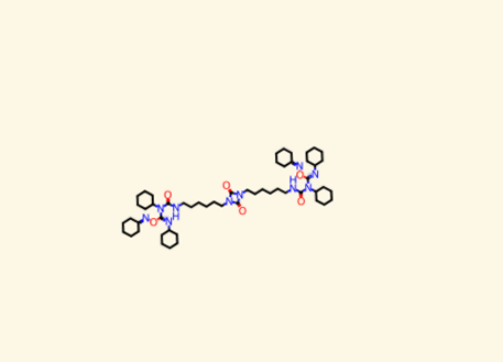 O=C1N(CCCCCCNC(=O)N(/C(=N/C2CCCCC2)ON=C2CCCCC2)C2CCCCC2)C(=O)N1CCCCCCNC(=O)N(/C(=N/C1CCCCC1)ON=C1CCCCC1)C1CCCCC1